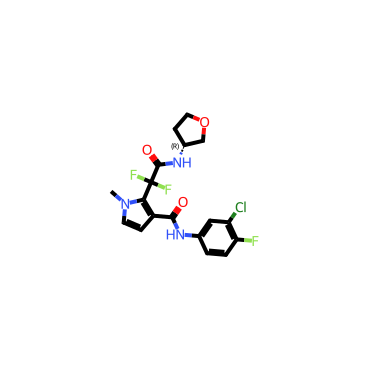 Cn1ccc(C(=O)Nc2ccc(F)c(Cl)c2)c1C(F)(F)C(=O)N[C@@H]1CCOC1